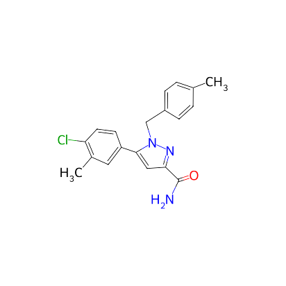 Cc1ccc(Cn2nc(C(N)=O)cc2-c2ccc(Cl)c(C)c2)cc1